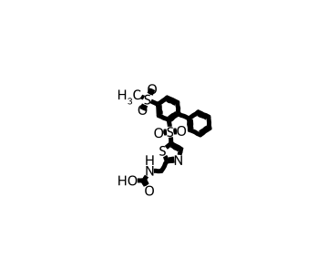 CS(=O)(=O)c1ccc(-c2ccccc2)c(S(=O)(=O)c2cnc(CNC(=O)O)s2)c1